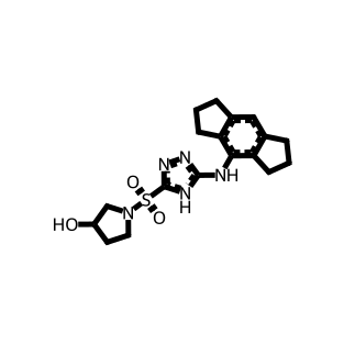 O=S(=O)(c1nnc(Nc2c3c(cc4c2CCC4)CCC3)[nH]1)N1CCC(O)C1